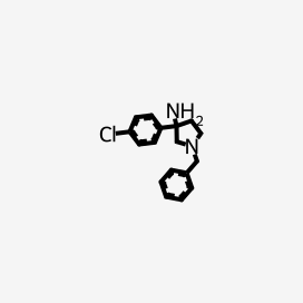 NC1(c2ccc(Cl)cc2)CCN(Cc2ccccc2)C1